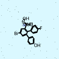 COc1cc(F)ccc1-c1c(/C(N)=N/O)cc(Br)cc1-c1ccc(O)cc1